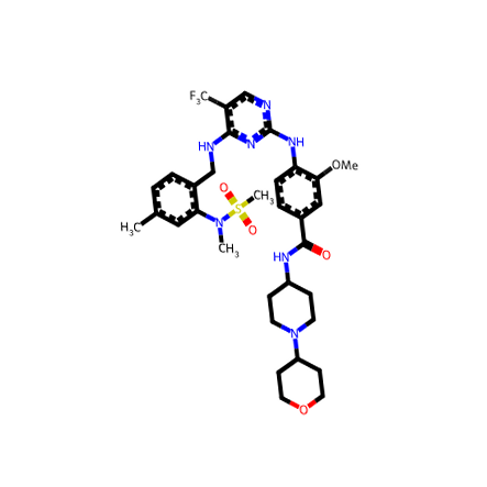 COc1cc(C(=O)NC2CCN(C3CCOCC3)CC2)ccc1Nc1ncc(C(F)(F)F)c(NCc2ccc(C)cc2N(C)S(C)(=O)=O)n1